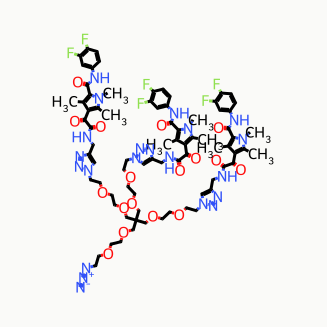 Cc1c(C(=O)C(=O)NCc2cn(CCOCCOCC(COCCOCCN=[N+]=[N-])(COCCOCCn3cc(CNC(=O)C(=O)c4c(C)c(C(=O)Nc5ccc(F)c(F)c5)n(C)c4C)nn3)COCCOCCn3cc(CNC(=O)C(=O)c4c(C)c(C(=O)Nc5ccc(F)c(F)c5)n(C)c4C)nn3)nn2)c(C)n(C)c1C(=O)Nc1ccc(F)c(F)c1